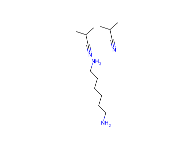 CC(C)C#N.CC(C)C#N.NCCCCCCN